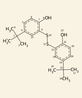 CC(C)(C)c1ccc(O)c(SSc2cc(C(C)(C)C)ccc2O)c1